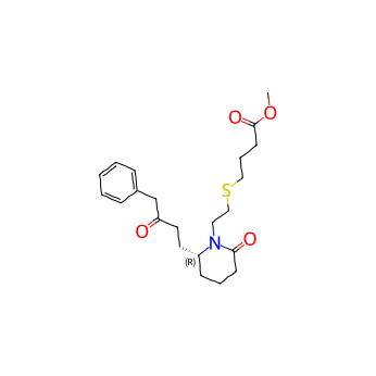 COC(=O)CCCSCCN1C(=O)CCC[C@@H]1CCC(=O)Cc1ccccc1